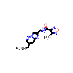 CC(=O)NCc1cnn2cc(CNC(=O)c3nonc3C)nc2c1